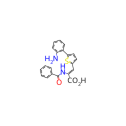 Nc1ccccc1-c1ccc(C=C(NC(=O)c2ccccc2)C(=O)O)s1